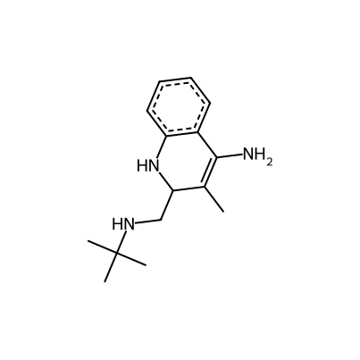 CC1=C(N)c2ccccc2NC1CNC(C)(C)C